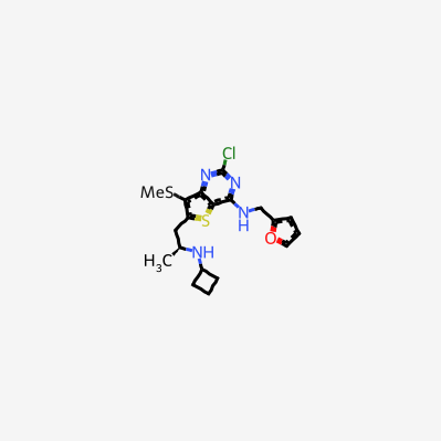 CSc1c(C[C@H](C)NC2CCC2)sc2c(NCc3ccco3)nc(Cl)nc12